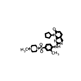 Cc1cc(S(=O)(=O)N2CCN(C)CC2)ccc1Nc1ncc2ccc(=O)n(C3CCCC3)c2n1